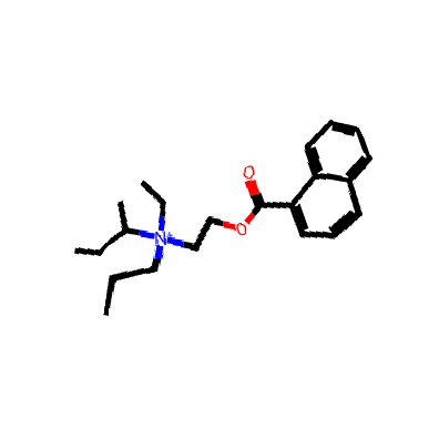 CCC[N+](CC)(CCOC(=O)c1cccc2ccccc12)C(C)CC